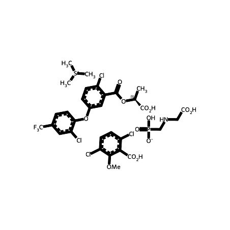 COc1c(Cl)ccc(Cl)c1C(=O)O.C[C@H](OC(=O)c1cc(Oc2ccc(C(F)(F)F)cc2Cl)ccc1Cl)C(=O)O.C[S+](C)C.O=C(O)CNCP(=O)([O-])O